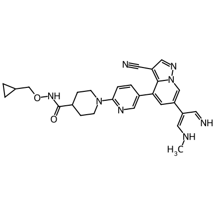 CN/C=C(\C=N)c1cc(-c2ccc(N3CCC(C(=O)NOCC4CC4)CC3)nc2)c2c(C#N)cnn2c1